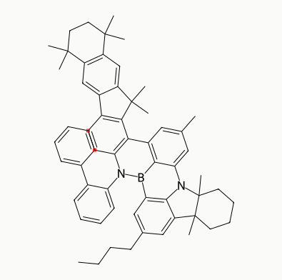 CCCCc1cc2c3c(c1)C1(C)CCCCC1(C)N3c1cc(C)cc3c1B2N(c1ccccc1-c1ccccc1)c1ccc2c(c1-3)C(C)(C)c1cc3c(cc1-2)C(C)(C)CCC3(C)C